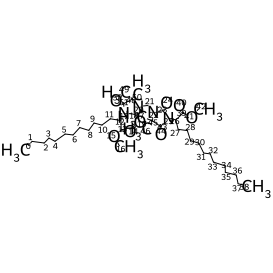 CCCCCCCCCCCCC(C(=O)OC)N1C(=O)N(CN2C(=O)N(C(CCCCCCCCCCCC)C(=O)OC)C(=O)C2(C)C)C(C)(C)C1=O